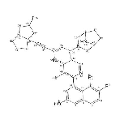 CCc1c(F)ccc2cc(O)cc(-c3ncc4c(N5CC6CCC(C5)N6)cc(C#CC56CCCN5CC(F)C6)nc4c3F)c12